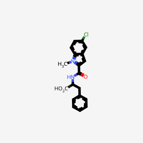 Cn1c(C(=O)NC(Cc2ccccc2)C(=O)O)cc2cc(Cl)ccc21